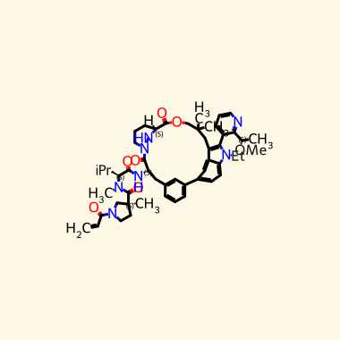 C=CC(=O)N1CC[C@](C)(C(=O)N(C)[C@H](C(=O)N[C@H]2Cc3cccc(c3)-c3ccc4c(c3)c(c(-c3cccnc3[C@H](C)OC)n4CC)CC(C)(C)COC(=O)[C@@H]3CCCN(N3)C2=O)C(C)C)C1